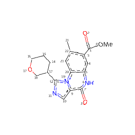 COC(=O)c1cc2[nH]c(=O)c3cnc(C4CCCOC4)n3c2cc1C